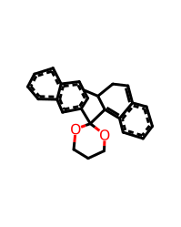 CC1CC=c2ccccc2=C1C1(c2ccc3ccccc3c2)OCCCO1